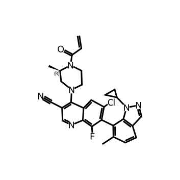 C=CC(=O)N1CCN(c2c(C#N)cnc3c(F)c(-c4c(C)ccc5cnn(C6CC6)c45)c(Cl)cc23)C[C@H]1C